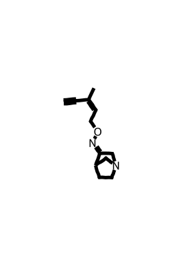 C#C/C(C)=C\CO/N=C1\CN2CCC1C2